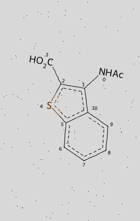 CC(=O)Nc1c(C(=O)O)sc2ccccc12